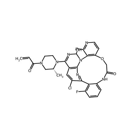 C=CC(=O)N1CCN(C2=NC(O)N3c4nc(c(Cl)cc42)-c2c(F)cccc2NC(=O)COc2ccnc(C(C)C)c23)[C@H](C)C1